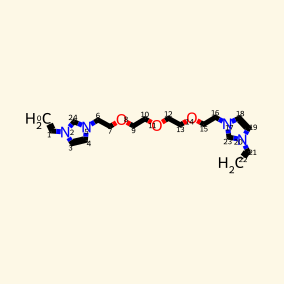 C=CN1C=CN(CCOCCOCCOCCN2C=CN(C=C)C2)C1